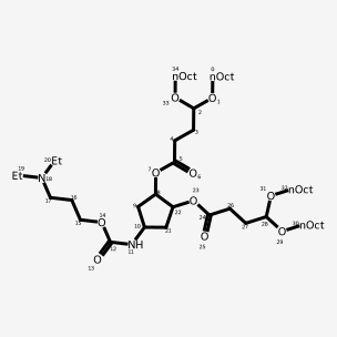 CCCCCCCCOC(CCC(=O)OC1CC(NC(=O)OCCCN(CC)CC)CC1OC(=O)CCC(OCCCCCCCC)OCCCCCCCC)OCCCCCCCC